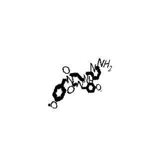 COc1ccc(Cn2c(NCc3cccc(N)n3)cc(=O)n(Cc3ccc(OC)cc3)c2=O)cc1